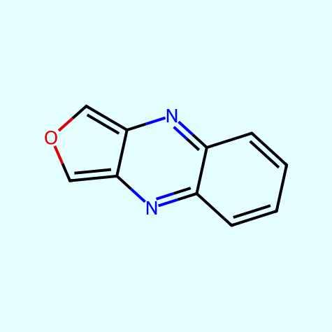 c1ccc2nc3cocc3nc2c1